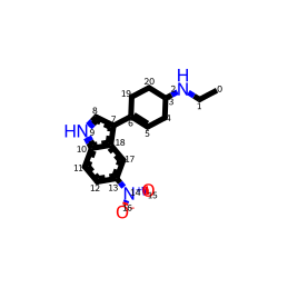 CCNC1CC=C(c2c[nH]c3ccc([N+](=O)[O-])cc23)CC1